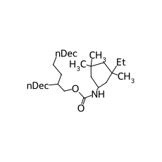 CCCCCCCCCCCCC(CCCCCCCCCC)COC(=O)NC1CC(C)(C)CC(C)(CC)C1